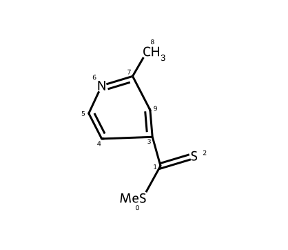 CSC(=S)c1ccnc(C)c1